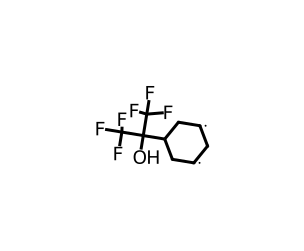 OC(C1C[CH]C[CH]C1)(C(F)(F)F)C(F)(F)F